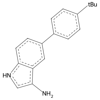 CC(C)(C)c1ccc(-c2ccc3[nH]cc(N)c3c2)cc1